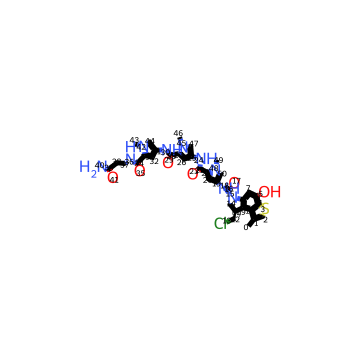 Cc1csc2c(O)cc3c(c12)[C@@H](CCl)CN3C(=O)Nc1cc(C(=O)Nc2cc(C(=O)Nc3cc(C(=O)NCCC(N)=O)n(C)c3)n(C)c2)n(C)c1